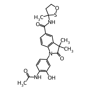 CC(=O)Nc1ccc(N2C(=O)C(C)(C)c3cc(C(=O)NC4(C)CCOS4)ccc32)cc1O